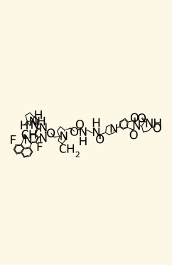 C#Cc1c(F)ccc2cccc(-c3ncc4c(N5C[C@H]6CC[C@@H](C5)N6)nc(OC[C@@]56CC[C@@H](COC(=O)NCCNC(=O)C7CCN(c8ccc9c(c8)C(=O)N(C8CCC(=O)NC8=O)C9=O)CC7)N5CC(=C)C6)nc4c3F)c12